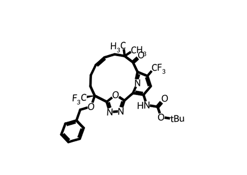 CC(C)(C)OC(=O)Nc1cc(C(F)(F)F)c2nc1-c1nnc(o1)[C@@](OCc1ccccc1)(C(F)(F)F)CC/C=C\CC(C)(C)C2=O